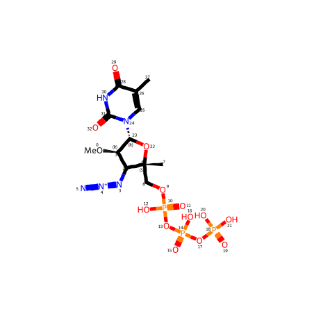 CO[C@@H]1C(N=[N+]=[N-])[C@@](C)(COP(=O)(O)OP(=O)(O)OP(=O)(O)O)O[C@H]1n1cc(C)c(=O)[nH]c1=O